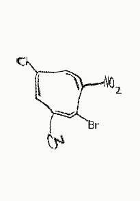 N#Cc1cc(Cl)cc([N+](=O)[O-])c1Br